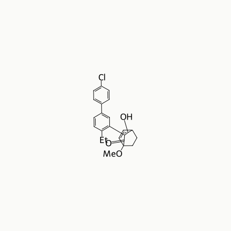 CCc1ccc(-c2ccc(Cl)cc2)cc1C1=C(O)C2C=CC(OC)(CC2)C1=O